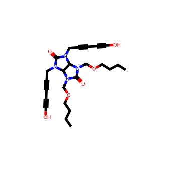 CCCCOCN1C(=O)N(COCCCC)C2C1N(CC#CC#CO)C(=O)N2CC#CC#CO